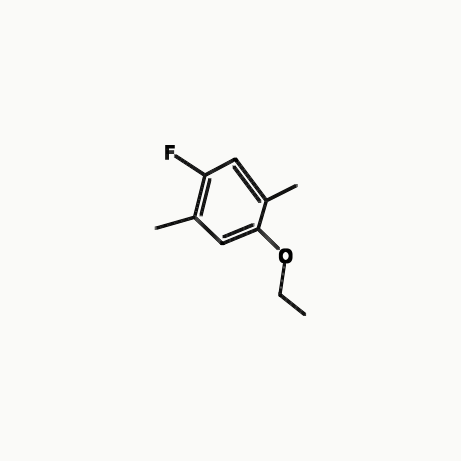 CCOc1cc(C)c(F)cc1C